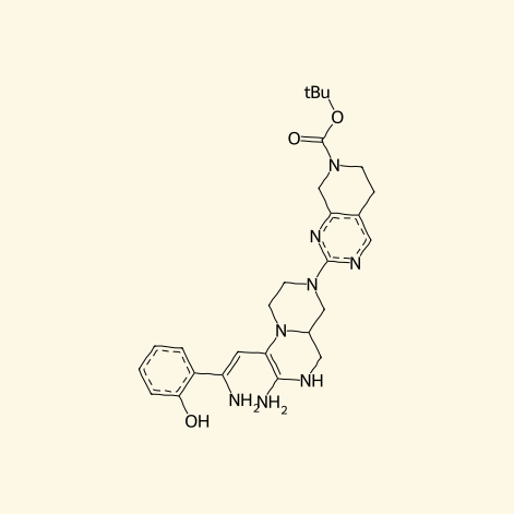 CC(C)(C)OC(=O)N1CCc2cnc(N3CCN4C(/C=C(\N)c5ccccc5O)=C(N)NCC4C3)nc2C1